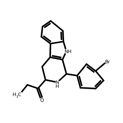 CCC(=O)C1Cc2c([nH]c3ccccc23)C(c2cccc(Br)c2)N1